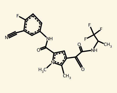 Cc1c(C(=O)C(=O)NC(C)C(F)(F)F)cc(C(=O)Nc2ccc(F)c(C#N)c2)n1C